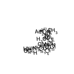 COc1nc(-c2cccc(-c3ccnc(-c4ccc5c(CN(C)C6CCN(C(C)=O)CC6)nn(C)c5c4)c3Cl)c2Cl)ccc1CNC[C@H]1CCC(=O)N1